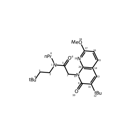 CCCN(CCC(C)(C)C)C(=O)Cn1c(=O)c(C(C)(C)C)cc2ccc(OC)nc21